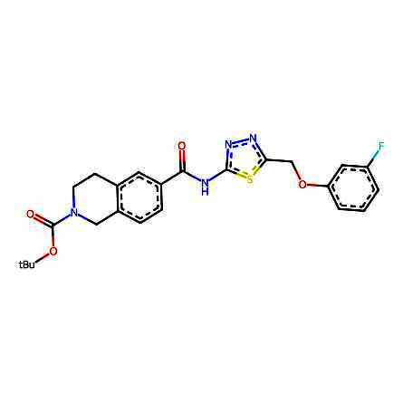 CC(C)(C)OC(=O)N1CCc2cc(C(=O)Nc3nnc(COc4cccc(F)c4)s3)ccc2C1